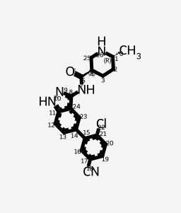 C[C@@H]1CC[C@@H](C(=O)Nc2n[nH]c3ccc(-c4cc(C#N)ccc4Cl)cc23)CN1